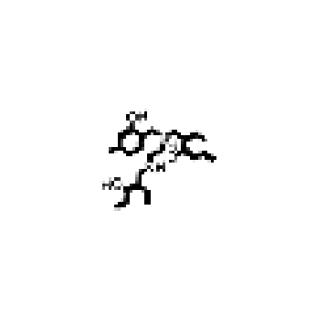 C=C/C=C(O)\C(=C/C)CN(CCNC/C(C=C)=C(\O)C=C)CC1=CCC(C)C=C1O